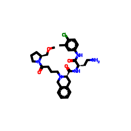 COC[C@@H]1CCCN1C(=O)CCCN1Cc2ccccc2C[C@H]1C(=O)N[C@@H](CCN)C(=O)Nc1ccc(Cl)c(C)c1